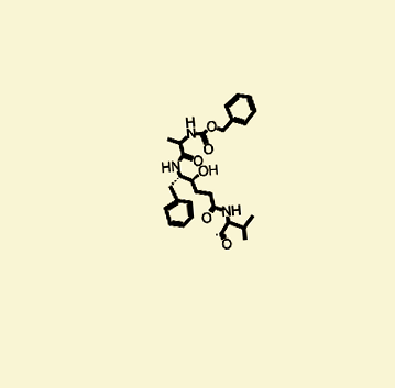 CC(NC(=O)OCc1ccccc1)C(=O)N[C@@H](Cc1ccccc1)[C@@H](O)CCC(=O)NC([C]=O)C(C)C